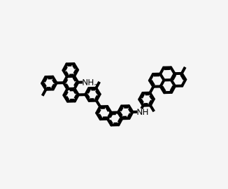 CC1=CCC2=CC=C3C(c4ccc(Nc5ccc6c(ccc7ccc(-c8cc(C)cc(-c9cccc%10c(-c%11cccc(C)c%11)c%11ccccc%11c(N)c9%10)c8)cc76)c5)c(C)c4)=CC=C4C=CC1=C2C43